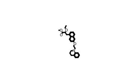 CCOC(Cc1cccc2cc(OCCN3CCCc4ccccc43)ccc12)C(=O)OC